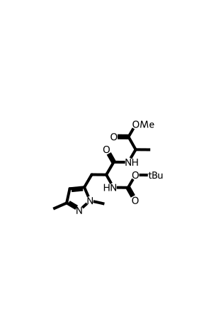 COC(=O)C(C)NC(=O)C(Cc1cc(C)nn1C)NC(=O)OC(C)(C)C